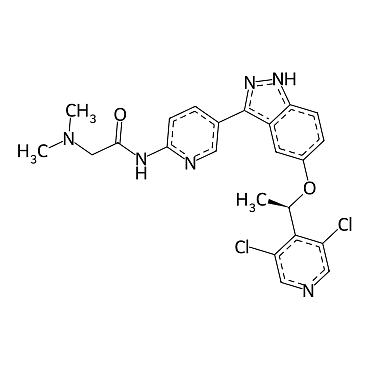 C[C@@H](Oc1ccc2[nH]nc(-c3ccc(NC(=O)CN(C)C)nc3)c2c1)c1c(Cl)cncc1Cl